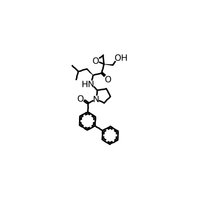 CC(C)C[C@H](NC1CCCN1C(=O)c1cccc(-c2ccccc2)c1)C(=O)[C@@]1(CO)CO1